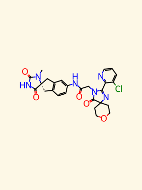 CN1C(=O)NC(=O)[C@@]12Cc1ccc(NC(=O)CN3C(=O)C4(CCOCC4)N=C3c3ncccc3Cl)cc1C2